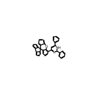 C1=C(c2ccccc2)NC(c2ccccc2)N=C1c1cccc2c1Oc1ccccc1C21c2ccccc2-c2ccccc21